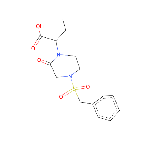 CCC(C(=O)O)N1CCN(S(=O)(=O)Cc2ccccc2)CC1=O